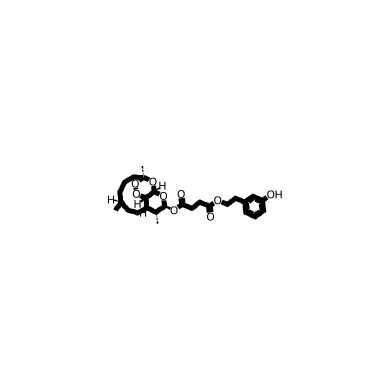 C[C@H]1CCC[C@]2(C)OO[C@@H]3[C@H](O[C@@H](OC(=O)CCC(=O)OCCc4cccc(O)c4)[C@H](C)[C@@H]3CC1)O2